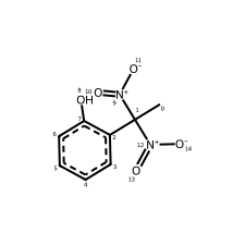 CC(c1ccccc1O)([N+](=O)[O-])[N+](=O)[O-]